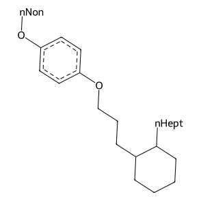 CCCCCCCCCOc1ccc(OCCCC2CCCCC2CCCCCCC)cc1